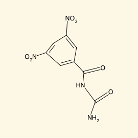 NC(=O)NC(=O)c1cc([N+](=O)[O-])cc([N+](=O)[O-])c1